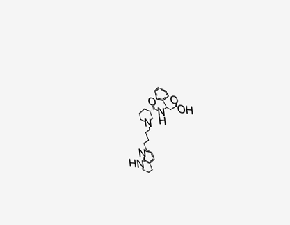 O=C(O)CC(NC(=O)[C@H]1CCCN(CCCCc2ccc3c(n2)NCCC3)C1)c1ccccc1